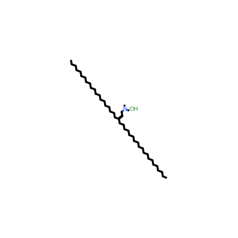 CCCCCCCCCCCCCCCCCCCCC(=CCN(C)C)CCCCCCCCCCCCCCCCCCCC.Cl